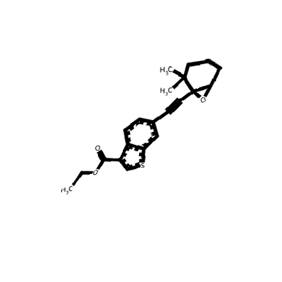 CCOC(=O)c1csc2cc(C#CC34OC3CCCC4(C)C)ccc12